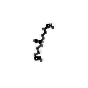 CCCCC[P](=S)CCCCC